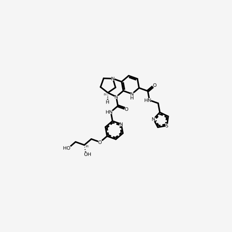 O=C(NCc1cscn1)C1C=CC2=C(N1)N(C(=O)Nc1cc(OC[C@H](O)CO)ccn1)[C@H]1CCN2C1